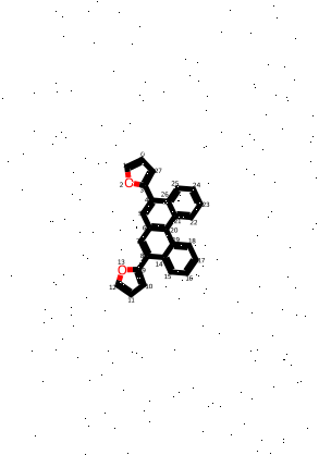 c1coc(-c2cc3cc(-c4ccco4)c4ccccc4c3c3ccccc23)c1